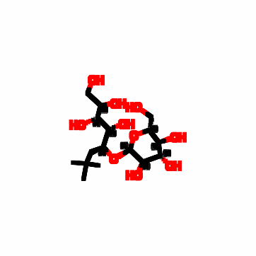 CC(C)(C)C[C@H](O[C@H]1O[C@H](CO)[C@@H](O)[C@H](O)[C@H]1O)[C@@H](O)[C@H](O)[C@H](O)CO